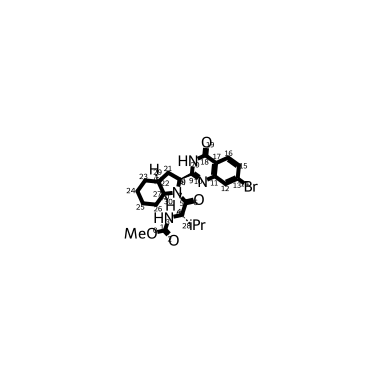 COC(=O)N[C@H](C(=O)N1[C@H](c2nc3cc(Br)ccc3c(=O)[nH]2)C[C@@H]2CCCC[C@@H]21)C(C)C